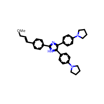 COCC=Cc1ccc(-c2nc(-c3ccc(N4CCCC4)cc3)c(-c3ccc(N4CCCC4)cc3)[nH]2)cc1